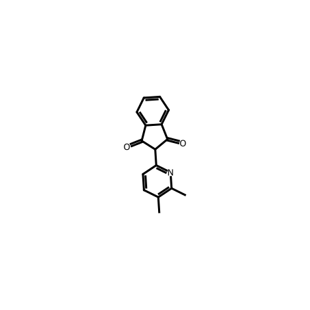 Cc1ccc(C2C(=O)c3ccccc3C2=O)nc1C